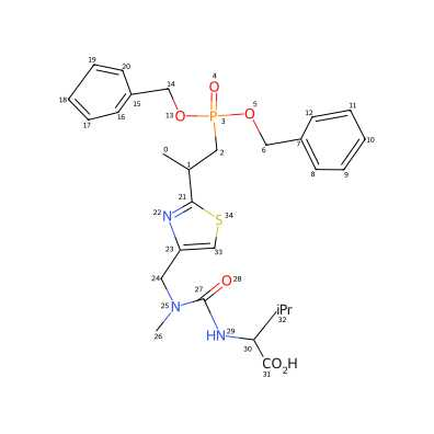 CC(CP(=O)(OCc1ccccc1)OCc1ccccc1)c1nc(CN(C)C(=O)NC(C(=O)O)C(C)C)cs1